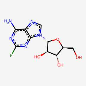 Nc1nc(F)nc2c1ncn2[C@@H]1O[C@@H](CO)[C@H](O)[C@H]1O